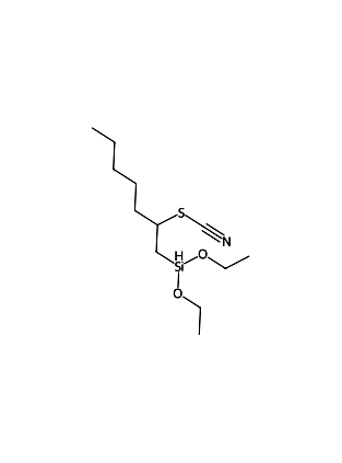 CCCCCC(C[SiH](OCC)OCC)SC#N